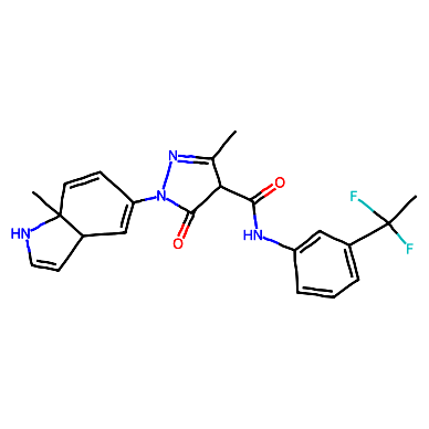 CC1=NN(C2=CC3C=CNC3(C)C=C2)C(=O)C1C(=O)Nc1cccc(C(C)(F)F)c1